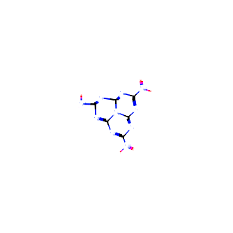 O=[N+]([O-])C1=NC2=NC([N+](=O)[O-])=NC3=NC([N+](=O)[O-])=NC(=N1)N23